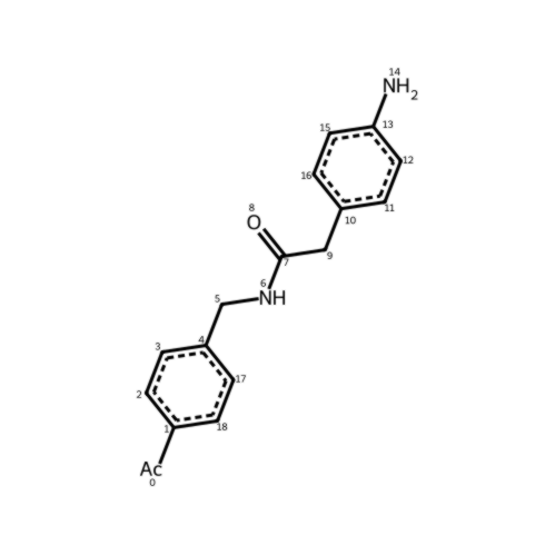 CC(=O)c1ccc(CNC(=O)Cc2ccc(N)cc2)cc1